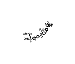 CNC(=O)CCC(C=O)Nc1ccc(C2CCN(C(=O)N(C)C3CCN(Cc4ccc(-c5cn(C)c(=O)c6[nH]ncc56)cc4OC(F)(F)F)CC3)CC2)c(F)c1